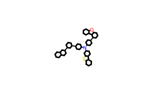 c1cc(-c2ccc(N(c3ccc(-c4cccc5oc6ccccc6c45)cc3)c3ccc4c(c3)sc3ccccc34)cc2)cc(-c2ccc3ccccc3c2)c1